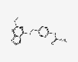 CSc1nc(OCc2ccc(OC(N)=O)cc2)c2ccsc2n1